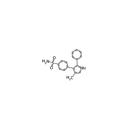 Cc1c[nH]c(-c2ccccc2)c1-c1ccc(S(N)(=O)=O)cc1